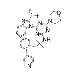 CC(C)(Cc1ccccc1-c1ccncc1)Nc1nc(N2CCOCC2)nc(-n2c(C(F)F)nc3ccccc32)n1